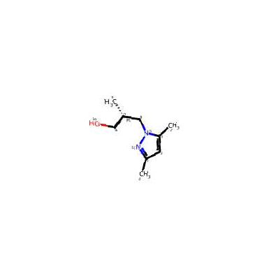 Cc1cc(C)n(C[C@@H](C)CO)n1